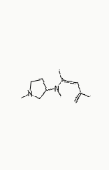 C=C(C)/C=C(/C)N(C)C1CCN(C)C1